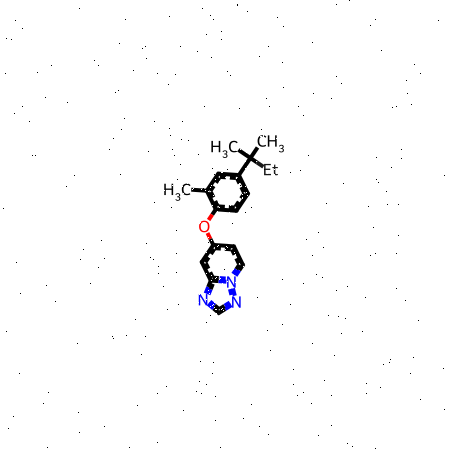 CCC(C)(C)c1ccc(Oc2ccn3ncnc3c2)c(C)c1